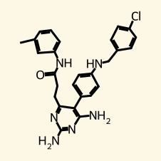 Cc1cccc(NC(=O)CCc2nc(N)nc(N)c2-c2ccc(NCc3ccc(Cl)cc3)cc2)c1